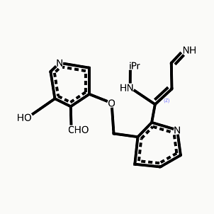 CC(C)N/C(=C\C=N)c1ncccc1COc1cncc(O)c1C=O